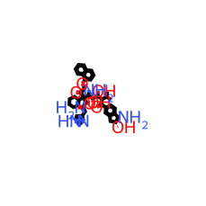 CC(C)C(C(=O)c1ccc2c(c1)C[C@@H](O)[C@H]2N)C(O)C(O)C(N)C(C(=O)COc1cccc2ccccc12)(C(=O)[C@@H](N)Cc1c[nH]cn1)C1CCCCC1